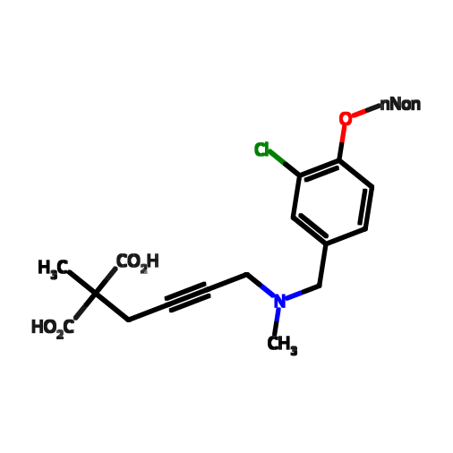 CCCCCCCCCOc1ccc(CN(C)CC#CCC(C)(C(=O)O)C(=O)O)cc1Cl